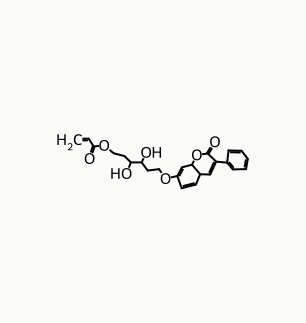 C=CC(=O)OCCC(O)C(O)CCOC1=CC2OC(=O)C(c3ccccc3)=CC2C=C1